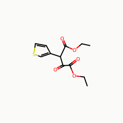 CCOC(=O)C(=O)C(C(=O)OCC)c1ccsc1